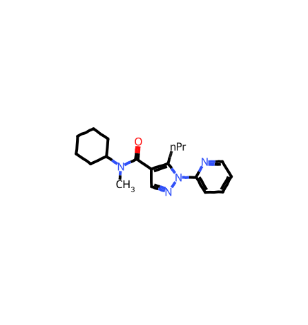 CCCc1c(C(=O)N(C)C2CCCCC2)cnn1-c1ccccn1